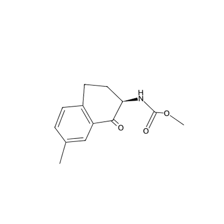 COC(=O)N[C@@H]1CCc2ccc(C)cc2C1=O